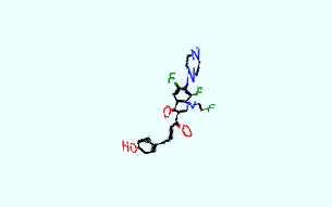 CN1CCN(c2c(F)cc3c(=O)c(C(=O)C=Cc4ccc(O)cc4)cn(CCF)c3c2F)CC1